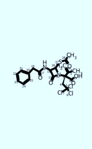 C=C(C)[C@](CC(Cl)(Cl)Cl)(C(=O)O)N1C(=O)C(NC(=O)Cc2ccccc2)C1SC(C)=O